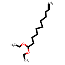 C=CCCCCCCCCC(OCC)OCC